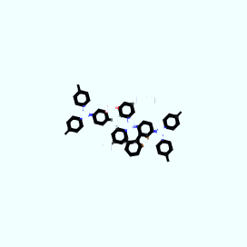 Cc1ccc(N(c2ccc(C)cc2)c2ccc3c(c2)Oc2cc(C(C)(C)C)cc4c2B3c2cc(C(C)(C)C)ccc2N4c2ccc(N(c3ccc(C)cc3)c3ccc(C)cc3)c3sc4ccccc4c23)cc1